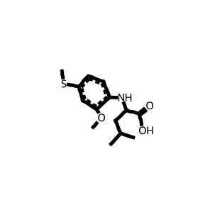 COc1cc(SC)ccc1NC(CC(C)C)C(=O)O